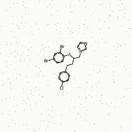 Clc1ccc(CCC(Cn2ccnc2)Sc2ccc(Br)cc2Br)cc1